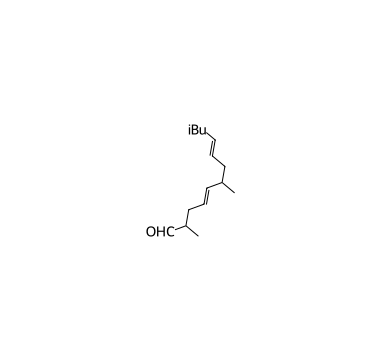 CCC(C)C=CCC(C)C=CCC(C)C=O